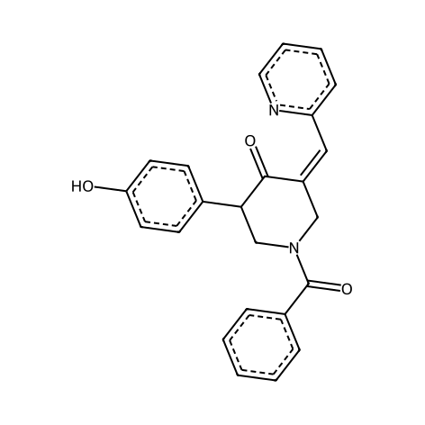 O=C1/C(=C\c2ccccn2)CN(C(=O)c2ccccc2)CC1c1ccc(O)cc1